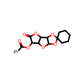 CC(C)C(=O)OC1C(=O)OC2C3OC4(CCCCC4)OC3OC12